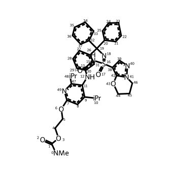 CNC(=O)OCCOc1cc(C(C)C)c(NC(=O)NS(=O)(=NC(c2ccccc2)(c2ccccc2)c2ccccc2)c2cnn3c2OCCC3)c(C(C)C)n1